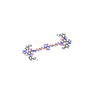 Cc1c(-c2ccnn2-c2ccc(C#N)cc2)cc(C(=O)NCCOCCOCCNC(=O)C(=O)NCCOCCOCCNC(=O)c2cc(-c3ccnn3-c3ccc(C#N)cc3)c(C)n(-c3cccc(C(F)(F)F)c3)c2=O)c(=O)n1-c1cccc(C(F)(F)F)c1